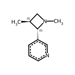 C[C@H]1CN(C)[C@@H]1c1cccnc1